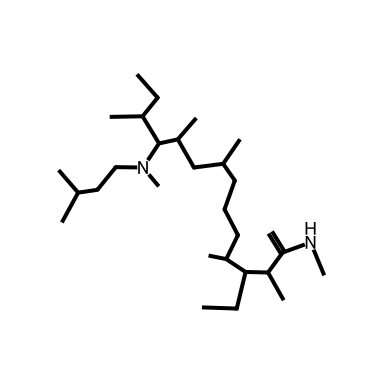 C=C(NC)C(C)C(CC)C(C)CCCC(C)CC(C)C(C(C)CC)N(C)CCC(C)C